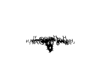 CC(C)[C@H](NC(=O)CNC(=O)[C@@H](N)CCCNC(=N)N)C(=O)N[C@@H](Cc1ccccc1)C(=O)N[C@@H](CCCNC(=N)N)C(=O)O